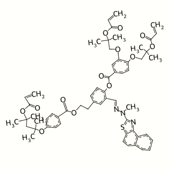 C=CC(=O)OC(C)(C)COc1ccc(C(=O)Oc2ccc(CCOC(=O)c3ccc(OC(C)(C)CC(C)(C)OC(=O)C=C)cc3)cc2/C=N/N(C)c2nc3c(ccc4ccccc43)s2)cc1OCC(C)(C)OC(=O)C=C